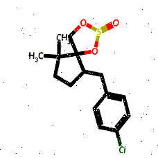 CC1(C)CCC(Cc2ccc(Cl)cc2)C12COS(=O)O2